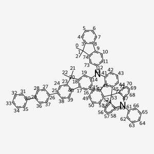 CC1(C)c2ccccc2-c2ccc(N(c3ccc4c(c3)C(C)(C)c3cc(-c5ccc(-c6ccccc6)cc5)ccc3-4)c3cccc4c3-c3ccccc3C43c4ccccc4N(c4ccccc4)c4ccccc43)cc21